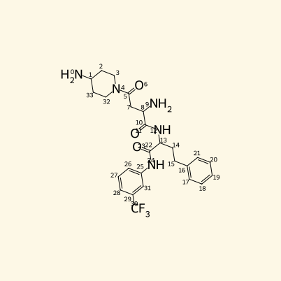 NC1CCN(C(=O)CC(N)C(=O)NC(CCc2ccccc2)C(=O)Nc2cccc(C(F)(F)F)c2)CC1